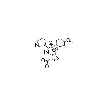 COC(=O)c1csc(Br)c1NC(c1cccnc1)S(=O)(=O)c1ccc(OC)cc1